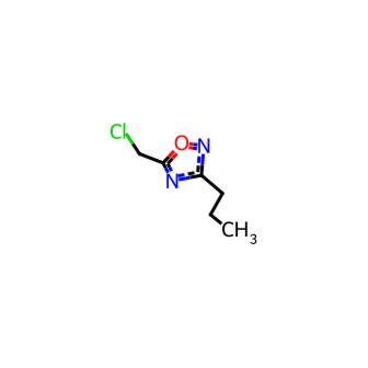 CCCc1noc(CCl)n1